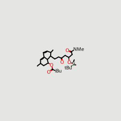 CCC(C)C(=O)OC1CC(C)C=C2C=CC(C)C(CCC(=O)CC(CC(=O)NC)O[Si](C)(C)C(C)(C)C)C21